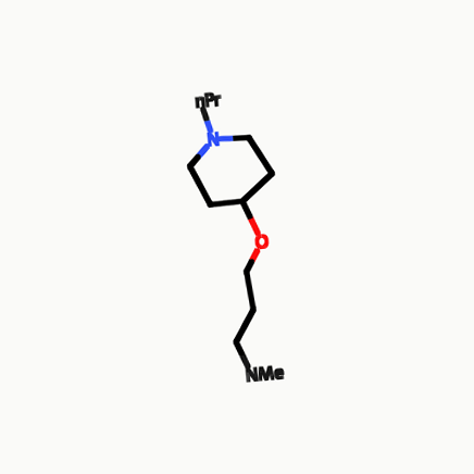 CCCN1CCC(OCCCNC)CC1